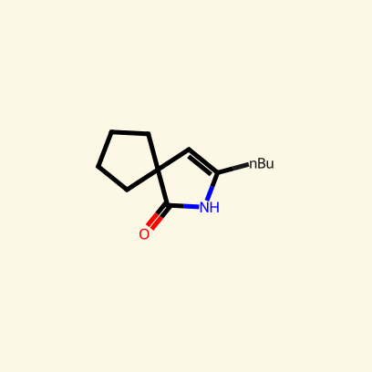 CCCCC1=CC2(CCCC2)C(=O)N1